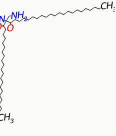 CCCCCCCCCCCCCCCCCCCCCC(=O)C(N)(CN)C(=O)CCCCCCCCCCCCCCCCCCCCC